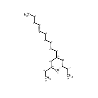 CCC/C=C/CCCCCC(CCCC)CC(O)CC